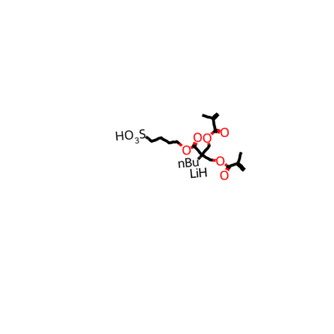 C=C(C)C(=O)OCC(CCCC)(COC(=O)C(=C)C)C(=O)OCCCCS(=O)(=O)O.[LiH]